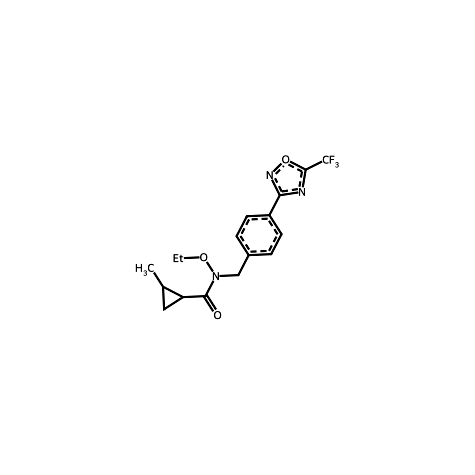 CCON(Cc1ccc(-c2noc(C(F)(F)F)n2)cc1)C(=O)C1CC1C